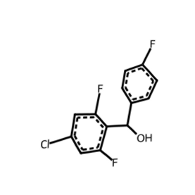 OC(c1ccc(F)cc1)c1c(F)cc(Cl)cc1F